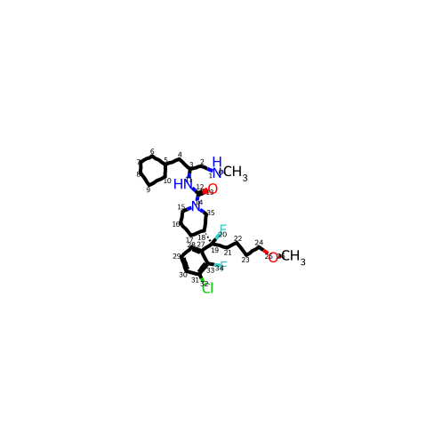 CNCC(CC1CCCCC1)NC(=O)N1CCC[C@@H](C(F)(CCCCOC)c2cccc(Cl)c2F)C1